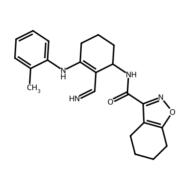 Cc1ccccc1NC1=C(C=N)C(NC(=O)c2noc3c2CCCC3)CCC1